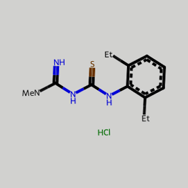 CCc1cccc(CC)c1NC(=S)NC(=N)NC.Cl